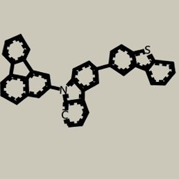 c1ccc2c(c1)-c1cccc3cc(-n4c5ccccc5c5cc(-c6ccc7sc8ccccc8c7c6)ccc54)cc-2c13